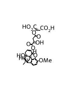 COc1ccc2c3c1O[C@H]1C(OC(=O)[C@@H](O)CC(=O)O[C@@H](CC(=O)O)C(=O)O)=CC[C@@]4(O)[C@@H](C2)N(C)CC[C@]314